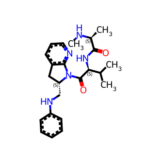 CN[C@@H](C)C(=O)N[C@H](C(=O)N1c2ncccc2C[C@H]1CNc1ccccc1)C(C)C